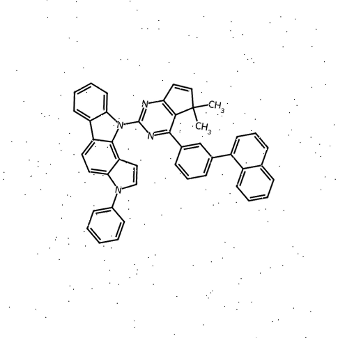 CC1(C)C=Cc2nc(-n3c4ccccc4c4ccc5c(ccn5-c5ccccc5)c43)nc(-c3cccc(-c4cccc5ccccc45)c3)c21